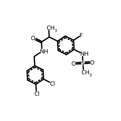 CC(C(=O)NCc1ccc(Cl)c(Cl)c1)c1ccc(NS(C)(=O)=O)c(F)c1